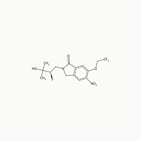 CC(C)(O)[C@H](F)CN1Cc2cc([N+](=O)[O-])c(OCC(F)(F)F)cc2C1=O